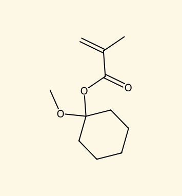 C=C(C)C(=O)OC1(OC)CCCCC1